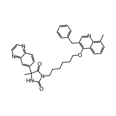 Cc1cccc2c(OCCCCCCN3C(=O)NC(C)(c4ccc5nccnc5c4)C3=O)c(Cc3ccccc3)cnc12